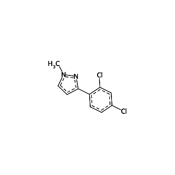 Cn1ccc(-c2ccc(Cl)cc2Cl)n1